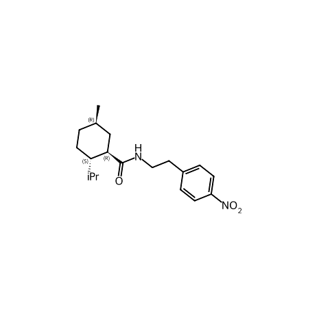 CC(C)[C@@H]1CC[C@@H](C)C[C@H]1C(=O)NCCc1ccc([N+](=O)[O-])cc1